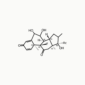 CC(=O)[C@@]1(O)C(C)C[C@H]2[C@@H]3C(O)C(O)C4=CC(=O)C=C[C@]4(C)[C@@]3(F)C(=O)C[C@@]21C